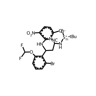 CC(C)(C)[S@@+]([O-])NC(C#N)CC(Nc1nc(Cl)ccc1[N+](=O)[O-])c1c(Br)cccc1OC(F)F